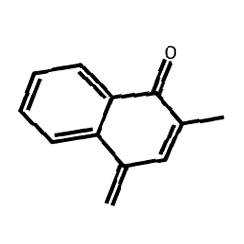 C=C1C=C(C)C(=O)c2ccccc21